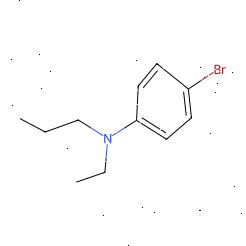 CCCN(CC)c1ccc(Br)cc1